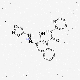 O=C(Nc1ccccn1)c1c(O)c(/N=N/c2cnoc2)cc2ccccc12